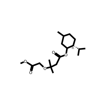 COC(=O)COC(C)(C)CC(=O)OC1CC(C)CC[C@@H]1C(C)C